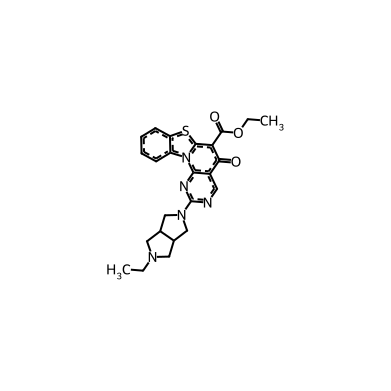 CCOC(=O)c1c(=O)c2cnc(N3CC4CN(CC)CC4C3)nc2n2c1sc1ccccc12